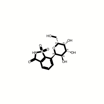 O=C1NS(=O)(=O)c2c1cccc2[C@H]1O[C@H](CO)[C@H](O)[C@H](O)[C@H]1O